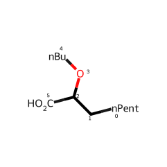 CCCCCCC(OCCCC)C(=O)O